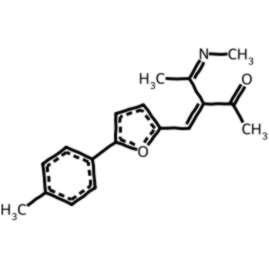 C/N=C(C)\C(=C/c1ccc(-c2ccc(C)cc2)o1)C(C)=O